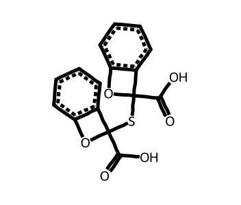 O=C(O)C1(SC2(C(=O)O)Oc3ccccc32)Oc2ccccc21